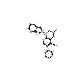 CN1Cc2c(ccc(-c3ccnnc3)c2F)C(c2cc3ccccc3[nH]2)C1